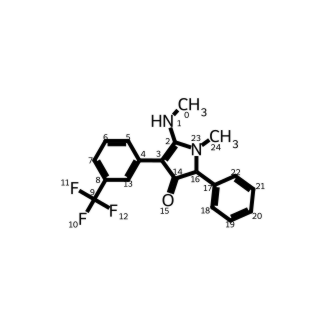 CNC1=C(c2cccc(C(F)(F)F)c2)C(=O)C(c2ccccc2)N1C